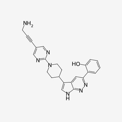 NCC#Cc1cnc(N2CCC(c3c[nH]c4nnc(-c5ccccc5O)cc34)CC2)nc1